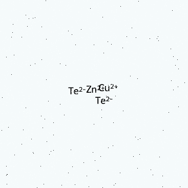 [Cu+2].[Te-2].[Te-2].[Zn+2]